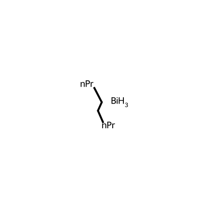 CCCCCCCC.[BiH3]